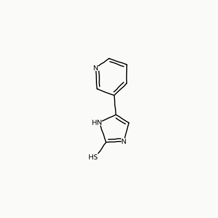 Sc1ncc(-c2cccnc2)[nH]1